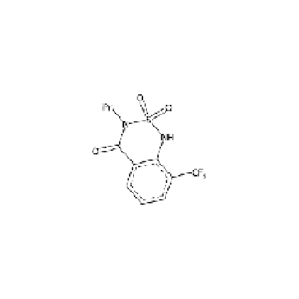 CC(C)N1C(=O)c2cccc(C(F)(F)F)c2NS1(=O)=O